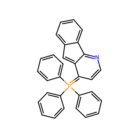 C1=CC(=P(c2ccccc2)(c2ccccc2)c2ccccc2)C2=Cc3ccccc3C2=N1